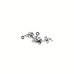 CC(=O)NCCCS(=O)(=O)OCC(C)(C)[C@@](CCOC(=O)C(C)(C)COCc1ccccc1)(OCc1ccccc1)C(=O)O